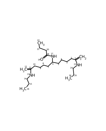 C=C(CCCCC(CCCCC(=C)NCCC)NC(=O)CCC)NCCC